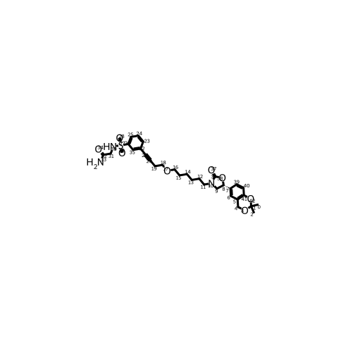 CC1(C)OCc2cc([C@@H]3CN(CCCCCCOCCC#Cc4cccc(S(=O)(=O)NCC(N)=O)c4)C(=O)O3)ccc2O1